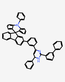 C1=C(c2cccc(-c3ccc4c(c3)C3(c5ccccc5-4)c4ccccc4N(c4ccccc4)c4ccccc43)c2)N=C(c2cccc(-c3ccccc3)c2)NC1c1ccccc1